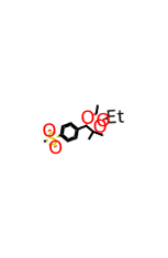 CCOC(C)OC(c1ccc(S(C)(=O)=O)cc1)C1(C)CO1